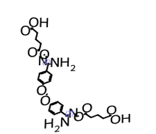 N/C(=N\OC(=O)CCCC(=O)O)c1ccc(OCOc2ccc(/C(N)=N/OC(=O)CCCC(=O)O)cc2)cc1